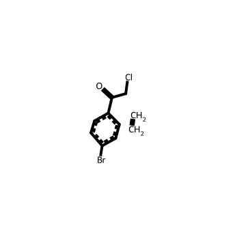 C=C.O=C(CCl)c1ccc(Br)cc1